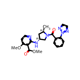 COC(=O)c1c(OC)ccnc1N[C@@H]1C[C@@H](C)N(C(=O)c2ccccc2-n2nccn2)C1